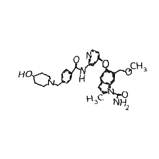 COCc1cc2c(cc1Oc1ccnc(NC(=O)c3ccc(CN4CCC(O)CC4)cc3)c1)cc(C)n2C(N)=O